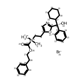 C[N+](C)(CCc1cnc([C@](O)(c2ccccc2)C2CCCCC2)o1)C(=O)OCCc1ccccc1.[Br-]